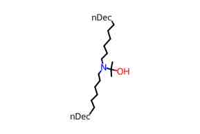 CCCCCCCCCCCCCCCCN(CCCCCCCCCCCCCCCC)C(C)(C)O